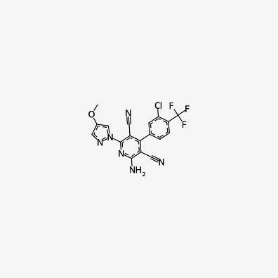 COc1cnn(-c2nc(N)c(C#N)c(-c3ccc(C(F)(F)F)c(Cl)c3)c2C#N)c1